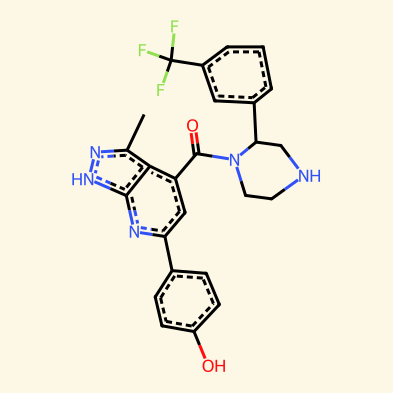 Cc1n[nH]c2nc(-c3ccc(O)cc3)cc(C(=O)N3CCNCC3c3cccc(C(F)(F)F)c3)c12